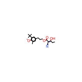 CC/C(O)=C(\C#N)C(=O)OCCCc1cc(C)c(OC)c(C(C)(C)C)c1